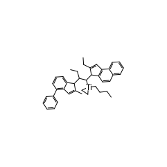 CCC[CH2][Ti]1([CH](C2C(CC)=Cc3c2ccc2ccccc32)C(CC)C2C(C)=Cc3c(-c4ccccc4)cccc32)[CH2][CH2]1